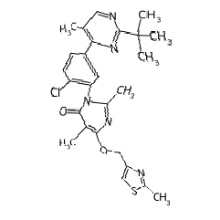 Cc1nc(COc2nc(C)n(-c3cc(-c4nc(C(C)(C)C)ncc4C)ccc3Cl)c(=O)c2C)cs1